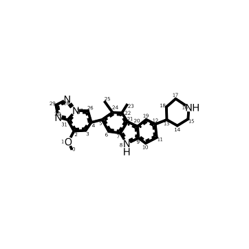 COc1cc(-c2cc3[nH]c4ccc(C5CCNCC5)cc4c3c(C)c2C)cn2ncnc12